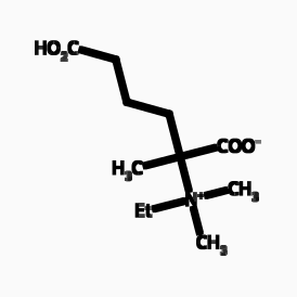 CC[N+](C)(C)C(C)(CCCC(=O)O)C(=O)[O-]